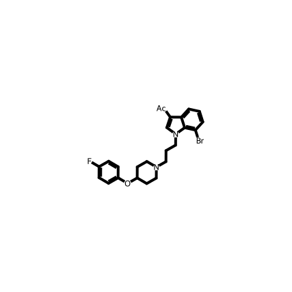 CC(=O)c1cn(CCCN2CCC(Oc3ccc(F)cc3)CC2)c2c(Br)cccc12